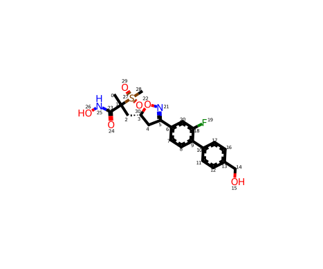 CC(C[C@H]1CC(c2ccc(-c3ccc(CO)cc3)c(F)c2)=NO1)(C(=O)NO)S(C)(=O)=O